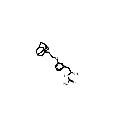 CC(Cc1cccc(OCCC23CC4CC(CC(C4)C2)C3)c1)NC(=O)O